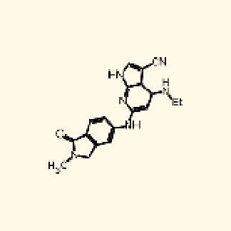 CCNC1C=C(Nc2ccc3c(c2)CN(C)C3=O)N=C2NC=C(C#N)C21